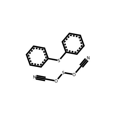 N#COSOC#N.c1ccc(Sc2ccccc2)cc1